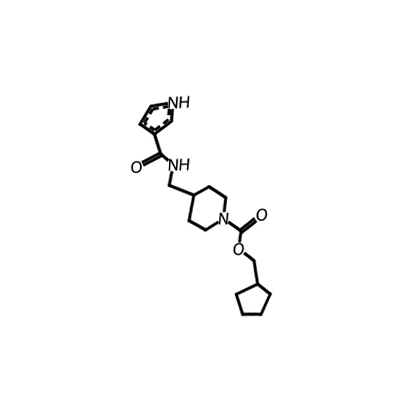 O=C(NCC1CCN(C(=O)OCC2CCCC2)CC1)c1cc[nH]c1